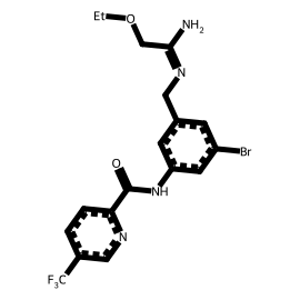 CCOC/C(N)=N\Cc1cc(Br)cc(NC(=O)c2ccc(C(F)(F)F)cn2)c1